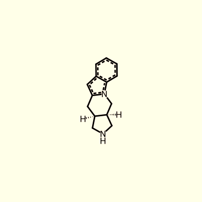 c1ccc2c(c1)cc1n2C[C@H]2CNC[C@H]2C1